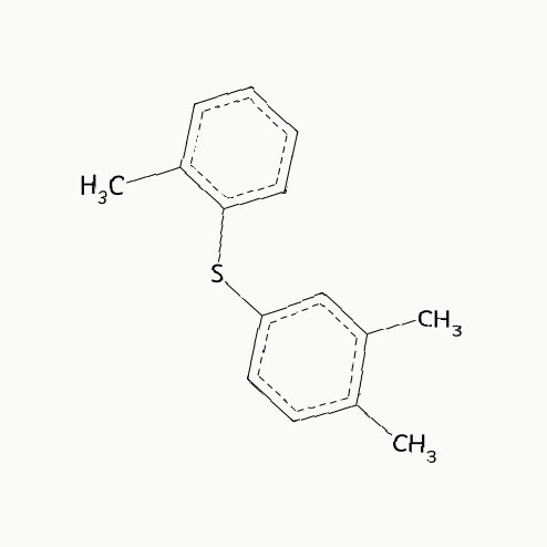 Cc1ccc(Sc2ccccc2C)cc1C